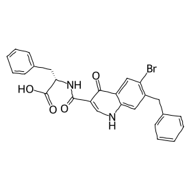 O=C(N[C@@H](Cc1ccccc1)C(=O)O)c1c[nH]c2cc(Cc3ccccc3)c(Br)cc2c1=O